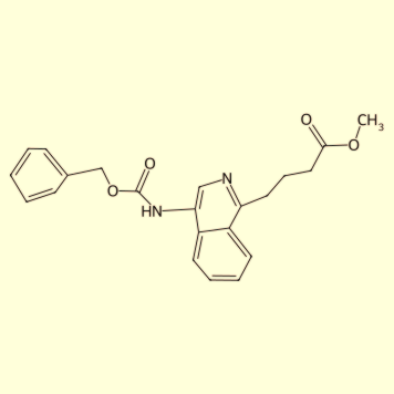 COC(=O)CCCc1ncc(NC(=O)OCc2ccccc2)c2ccccc12